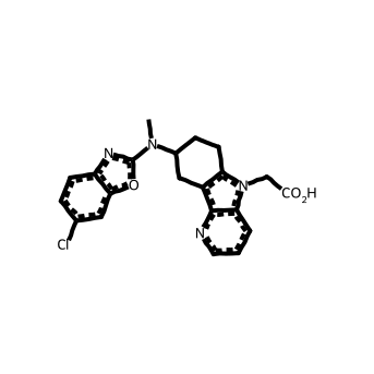 CN(c1nc2ccc(Cl)cc2o1)C1CCc2c(c3ncccc3n2CC(=O)O)C1